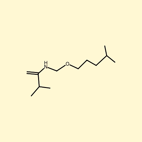 C=C(NCOCCCC(C)C)C(C)C